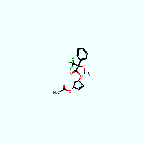 COC(C(=O)O[C@H]1C=C[C@H](OC(C)=O)C1)(c1ccccc1)C(F)(F)F